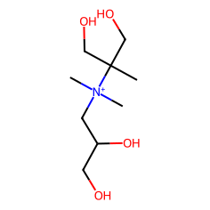 CC(CO)(CO)[N+](C)(C)CC(O)CO